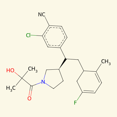 CC1=CC=C(F)CC1CC(c1ccc(C#N)c(Cl)c1)[C@H]1CCN(C(=O)C(C)(C)O)C1